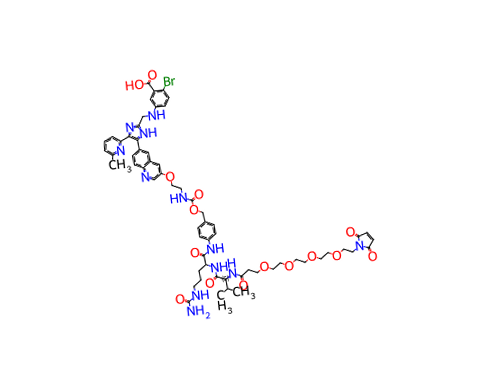 Cc1cccc(-c2nc(CNc3ccc(Br)c(C(=O)O)c3)[nH]c2-c2ccc3ncc(OCCNC(=O)OCc4ccc(NC(=O)C(CCCNC(N)=O)NC(=O)[C@@H](NC(=O)CCOCCOCCOCCOCCN5C(=O)C=CC5=O)C(C)C)cc4)cc3c2)n1